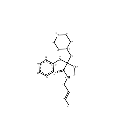 C/C=C/CNC(=O)C(CN1CCOCC1)(OC)Sc1ccccn1